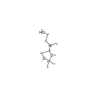 CN(CCO)C1COC(C)(C)O1